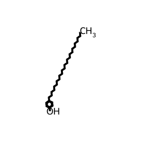 CCCCCCCCCCCCCCCCCCCCCCCCCCc1ccc(O)cc1